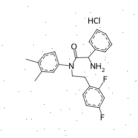 Cc1ccc(N(CCc2ccc(F)cc2F)C(=O)C(N)c2ccccc2)cc1C.Cl